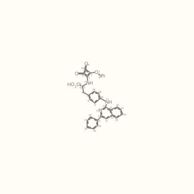 CC(C)Oc1c(N[C@@H](Cc2ccc(Nc3nc(-c4ccccc4)cc4ccccc34)cc2)C(=O)O)c(=O)c1=O